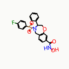 O=C(NO)c1ccc2c(c1)OCC(c1ccccc1)N(S(=O)(=O)c1ccc(F)cc1)C2